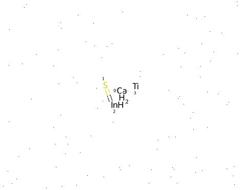 [CaH2].[S]=[InH].[Ti]